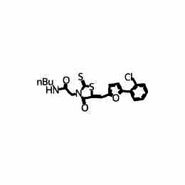 CCCCNC(=O)CN1C(=O)C(=Cc2ccc(-c3ccccc3Cl)o2)SC1=S